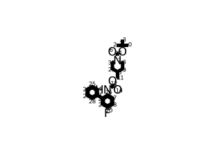 CC(C)(C)OC(=O)N1CCC(COC(=O)Nc2ccc(F)cc2-c2ccccc2)CC1